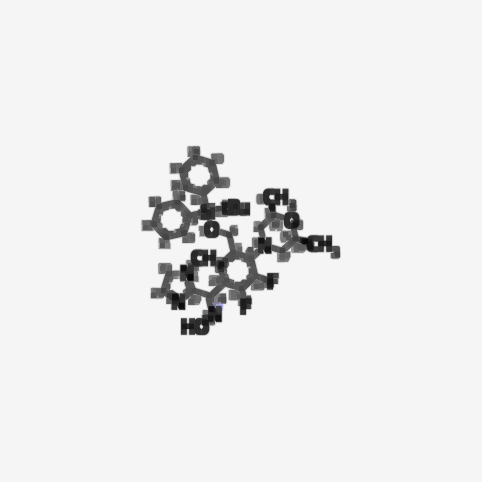 C[C@@H]1CN(c2c(CO[Si](c3ccccc3)(c3ccccc3)C(C)(C)C)cc(/C(=N/O)c3nccn3C)c(F)c2F)C[C@H](C)O1